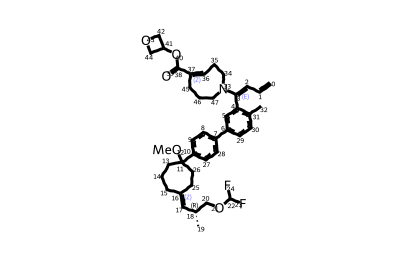 C=C/C=C(\c1cc(-c2ccc(C3(OC)CCC/C(=C/[C@@H](C)COC(F)F)CC3)cc2)ccc1C)N1CC/C=C(\C(=O)OC2COC2)CCC1